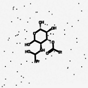 CCCC(O)N[C@H]1C(O)O[C@H](O)[C@@H](O)[C@@H]1OC(=O)CC